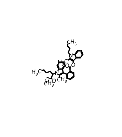 CCCCC(C(=O)OC)n1c(C)c(-c2ccccc2C(=O)Oc2c(C)n(CCCC)c3ccccc23)c2ccccc21